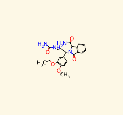 CCOc1cc(C(CCNC(N)=O)N2C(=O)c3[c]cccc3C2C(N)=O)ccc1OC